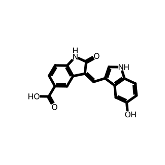 O=C1Nc2ccc(C(=O)O)cc2C1=Cc1c[nH]c2ccc(O)cc12